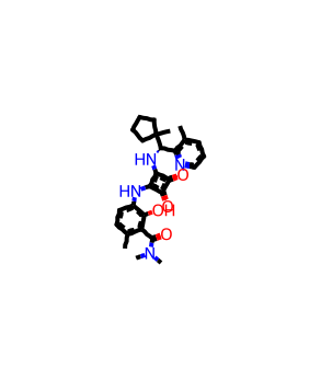 Cc1cccnc1[C@H](Nc1c(Nc2ccc(C)c(C(=O)N(C)C)c2O)c(=O)c1=O)C1(C)CCCC1